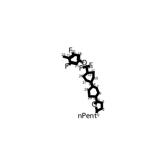 CCCCCC1CCC(C2CCC(C3CCC(C(F)(F)Oc4cc(F)c(C)c(F)c4)CC3)CC2)O1